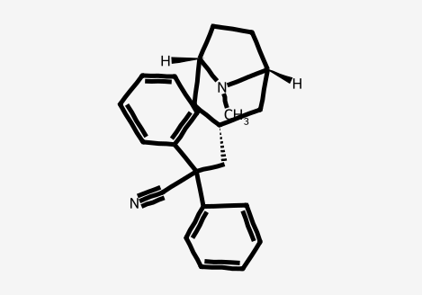 CN1[C@@H]2CC[C@H]1C[C@@H](CC(C#N)(c1ccccc1)c1ccccc1)C2